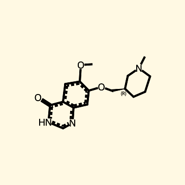 COc1cc2c(=O)[nH]cnc2cc1OC[C@@H]1CCCN(C)C1